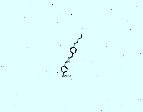 C=CCCCc1ccc(C=NN=Cc2ccc(CCCCC)cc2)cc1